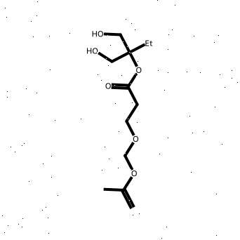 C=C(C)OCOCCC(=O)OC(CC)(CO)CO